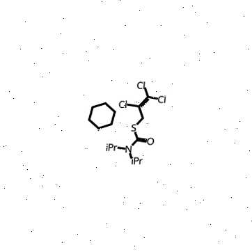 CC(C)N(C(=O)SCC(Cl)=C(Cl)Cl)C(C)C.[CH]1CCCCC1